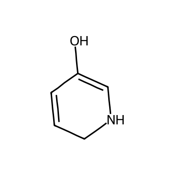 OC1=CNCC=C1